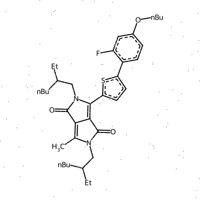 CCCCOc1ccc(-c2ccc(C3=C4C(=O)N(CC(CC)CCCC)C(C)=C4C(=O)N3CC(CC)CCCC)s2)c(F)c1